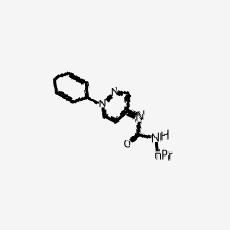 CCCNC(=O)N=c1ccn(C2C=CCC=C2)nc1